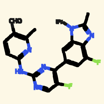 Cc1nc(Nc2ncc(F)c(-c3cc(F)c4nc(C)n(C(C)C)c4c3)n2)ccc1C=O